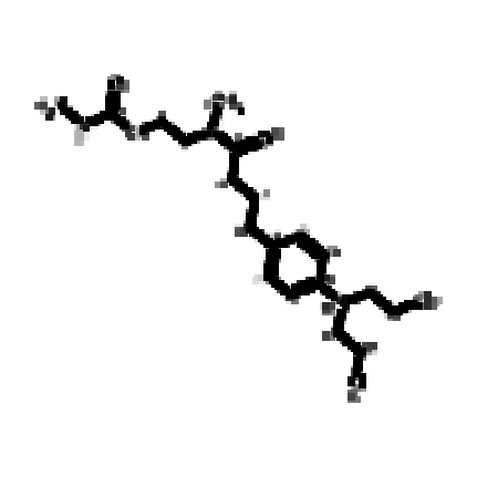 CN(CCOC(=O)NN)C(=O)CCCc1ccc(N(CCCl)CCCl)cc1